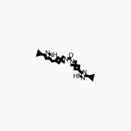 O=C(N1CC2(CC(Cc3cc(C4CC4)n[nH]3)C2)C1)N1CC2(CC(c3nc(C4CC4)n[nH]3)C2)C1